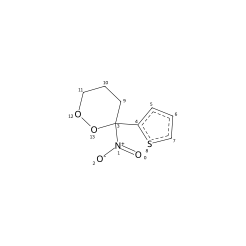 O=[N+]([O-])C1(c2cccs2)CCCOO1